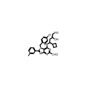 Cc1cccc(-c2nc3nc(C=O)nc(NC(CC(O)CN=O)C4CCC4)c3n2Cc2ccc(C(F)(F)F)cc2)c1